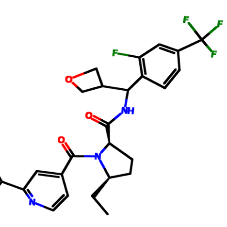 CC[C@@H]1CC[C@H](C(=O)NC(c2ccc(C(F)(F)F)cc2F)C2COC2)N1C(=O)c1ccnc(C(F)F)c1